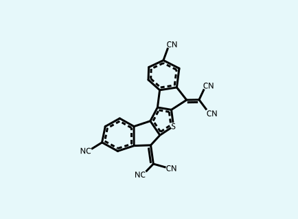 N#CC(C#N)=C1c2cc(C#N)ccc2-c2c1sc1c2-c2ccc(C#N)cc2C1=C(C#N)C#N